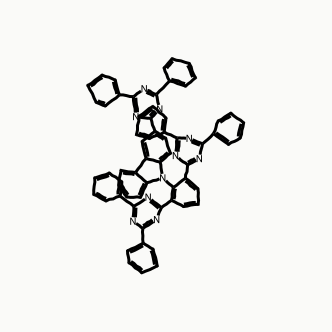 c1ccc(-c2nc(-c3ccccc3)nc(-c3ccc4c(c3)c3ccccc3n4-c3c(-c4nc(-c5ccccc5)nc(-c5ccccc5)n4)cccc3-c3nc(-c4ccccc4)nc(-c4ccccc4)n3)n2)cc1